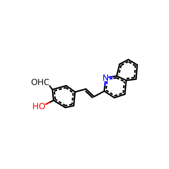 O=Cc1cc(C=Cc2ccc3ccccc3n2)ccc1O